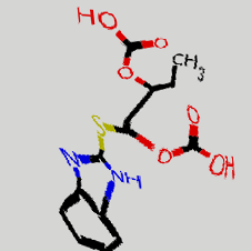 CCC(OC(=O)O)C(OC(=O)O)Sc1nc2ccccc2[nH]1